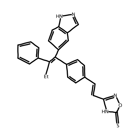 CC/C(=C(\c1ccc(C=Cc2noc(=S)[nH]2)cc1)c1ccc2[nH]ncc2c1)c1ccccc1